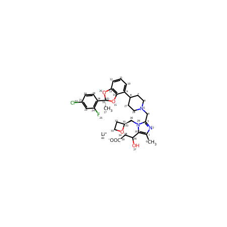 Cc1nc(CN2CCC(c3cccc4c3O[C@@](C)(c3ccc(Cl)cc3F)O4)CC2)n(C[C@@H]2CCO2)c1C(O)CC(=O)[O-].[Li+]